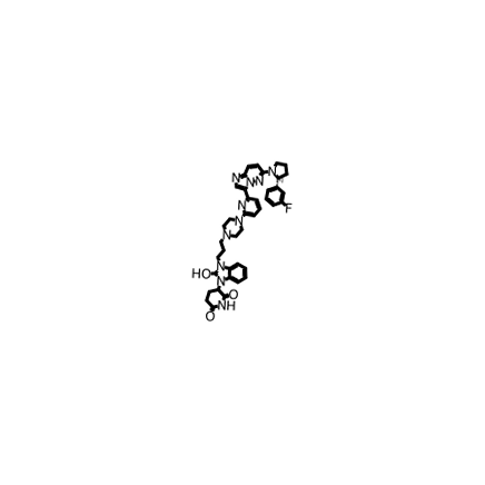 O=C1CCC(N2c3ccccc3N(CCCN3CCN(c4cccc(-c5cnc6ccc(N7CCC[C@@H]7c7cccc(F)c7)nn56)n4)CC3)C2O)C(=O)N1